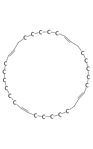 C1=C\CCCCCC/C=C/CCCCCC/C=C/CCCCCC/C=C/CCCCCC/1